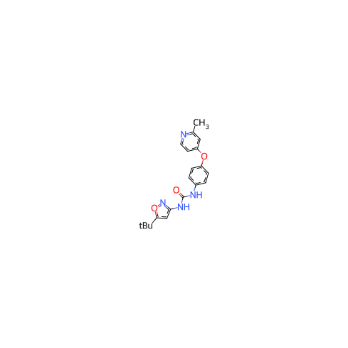 Cc1cc(Oc2ccc(NC(=O)Nc3cc(C(C)(C)C)on3)cc2)ccn1